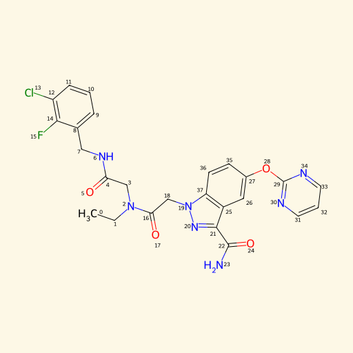 CCN(CC(=O)NCc1cccc(Cl)c1F)C(=O)Cn1nc(C(N)=O)c2cc(Oc3ncccn3)ccc21